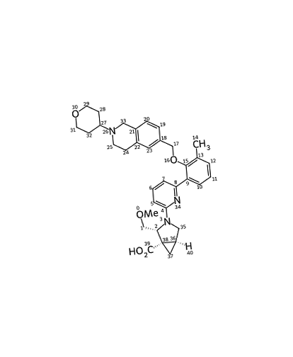 COC[C@@H]1N(c2cccc(-c3cccc(C)c3OCc3ccc4c(c3)CCN(C3CCOCC3)C4)n2)C[C@H]2C[C@]21C(=O)O